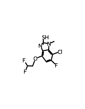 Cn1c(S)nc2c(OCC(F)F)cc(F)c(Cl)c21